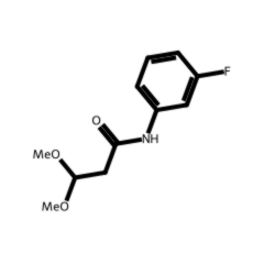 COC(CC(=O)Nc1cccc(F)c1)OC